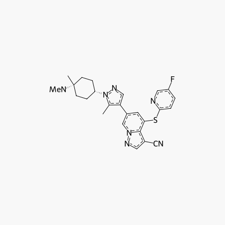 CN[C@]1(C)CC[C@H](n2ncc(-c3cc(Sc4ccc(F)cn4)c4c(C#N)cnn4c3)c2C)CC1